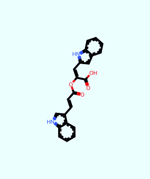 O=C(C=Cc1c[nH]c2ccccc12)OC(=Cc1cc2ccccc2[nH]1)C(=O)O